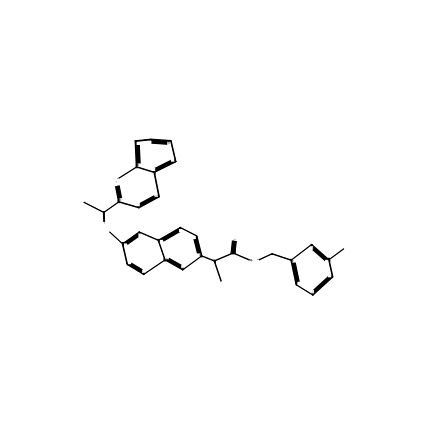 CC(Oc1ccc2cc(C(C)C(=O)NCc3cccc(C(=O)O)c3)ccc2c1)c1ccc2ccccc2n1